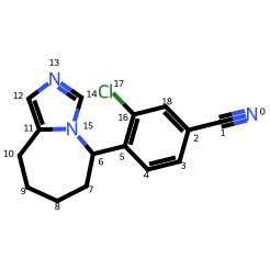 N#Cc1ccc(C2CCCCc3cncn32)c(Cl)c1